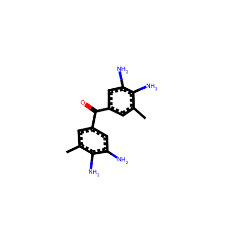 Cc1cc(C(=O)c2cc(C)c(N)c(N)c2)cc(N)c1N